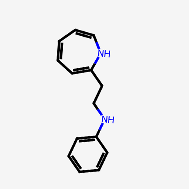 C1=CC=C(CCNc2ccccc2)NC=C1